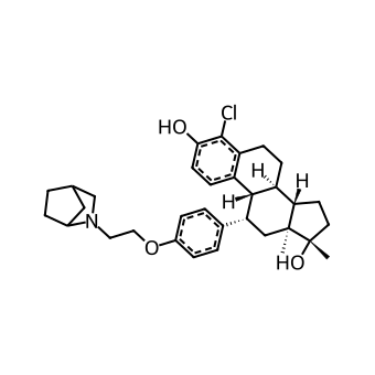 C[C@]1(O)CC[C@H]2[C@@H]3CCc4c(ccc(O)c4Cl)[C@H]3[C@@H](c3ccc(OCCN4CC5CCC4C5)cc3)C[C@@]21C